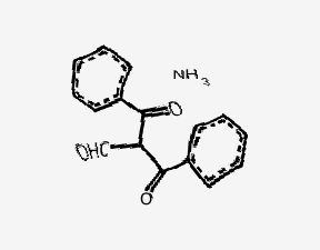 N.O=CC(C(=O)c1ccccc1)C(=O)c1ccccc1